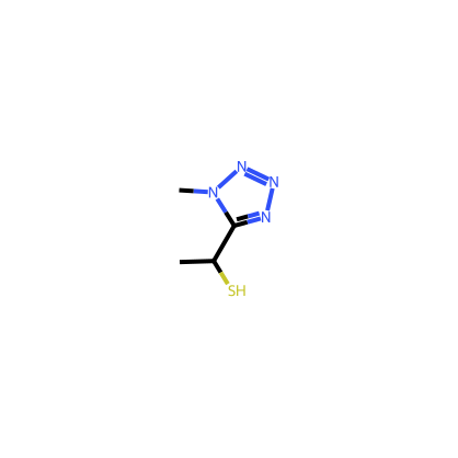 CC(S)c1nnnn1C